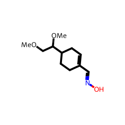 COCC(OC)C1CC=C(C=NO)CC1